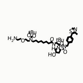 Cc1ncsc1-c1ccc(CNC(=O)[C@@H]2C[C@@H](O)CN2C(=O)[C@@H](NC(=O)CCCCCCCN(CCOCCN)C(=O)OC(C)(C)C)C(C)(C)C)cc1